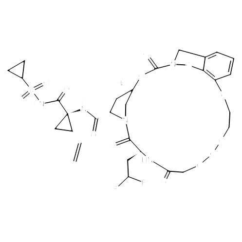 C=C[C@@H]1C[C@]1(NC(=O)[C@@H]1C[C@@H]2CN1C(=O)[C@H](CC(F)F)NC(=O)CCCCCCCc1cccc3c1CN(C3)C(=O)O2)C(=O)NS(=O)(=O)C1CC1